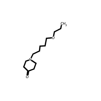 CCCOCCCCCN1CCC(=O)CC1